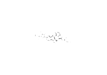 CC(C)N[C@@H]1CN(c2ncc3c4c(c(-c5c(F)ccc6sc(NC(=O)OC(C)(C)C)c(C#N)c56)c(F)c3n2)COC4)C[C@H]1C